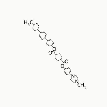 CC1CCC(c2ccc(-c3ccc(OC(=O)C4CCC(C(=O)Oc5ccc(N6CCN(C)CC6)cc5)CC4)cc3)cc2)CC1